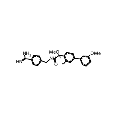 COc1cccc(-c2ccc([C@H](OC)C(=O)NCc3ccc(C(=N)N)cc3)c(F)c2)c1